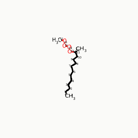 CCCCCCCCCCCC(C)OOOOC